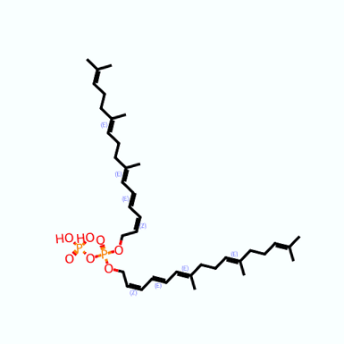 CC(C)=CCC/C(C)=C/CC/C(C)=C/C=C/C=C\COP(=O)(OC\C=C/C=C/C=C(\C)CC/C=C(\C)CCC=C(C)C)OP(=O)(O)O